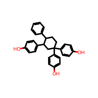 Oc1ccc(C2CC(c3ccc(O)cc3)(c3ccc(O)cc3)CCC2c2ccccc2)cc1